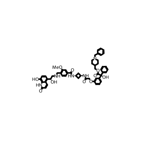 COc1cc(C(=O)N[C@H]2C[C@H](NC(=O)COc3cccc([C@](O)(C(=O)OCC4CCN(Cc5ccccc5)CC4)c4ccccc4)c3)C2)ccc1CNC[C@H](O)c1ccc(O)c2[nH]c(=O)ccc12